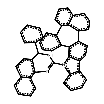 c1ccc(C2NC(n3c4ccccc4c4ccc5c(c43)-c3ccccc3-c3cccc4cccc-5c34)=Nc3c2ccc2ccccc32)cc1